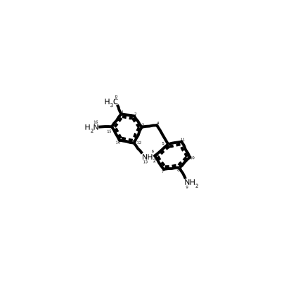 Cc1cc(Cc2ccc(N)cc2)c(N)cc1N